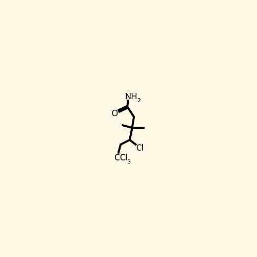 CC(C)(CC(N)=O)C(Cl)CC(Cl)(Cl)Cl